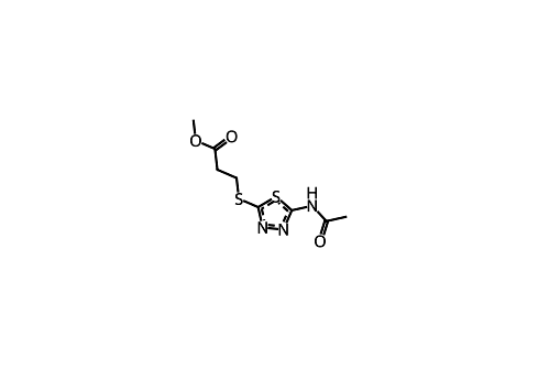 COC(=O)CCSc1nnc(NC(C)=O)s1